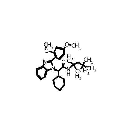 COc1ccc(-c2nc3ccccc3n2C(C(=O)NC(C)(C)CC(C)(C)C)C2CCCCC2)c(OC)c1